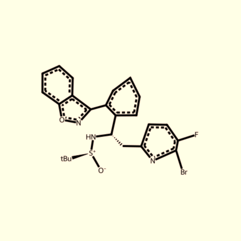 CC(C)(C)[S@+]([O-])N[C@@H](Cc1ccc(F)c(Br)n1)c1ccccc1-c1noc2ccccc12